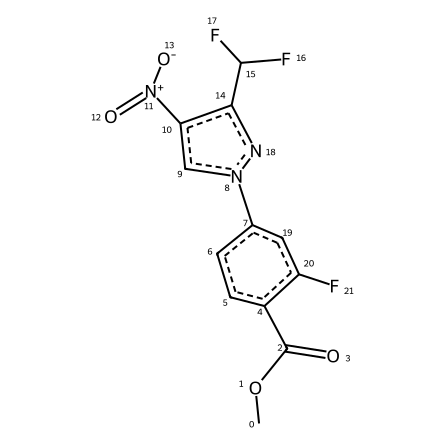 COC(=O)c1ccc(-n2cc([N+](=O)[O-])c(C(F)F)n2)cc1F